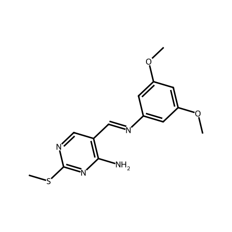 COc1cc(/N=C/c2cnc(SC)nc2N)cc(OC)c1